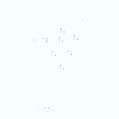 COc1cccc(CCNc2nc(N)n3nc(-c4ccco4)nc3n2)c1